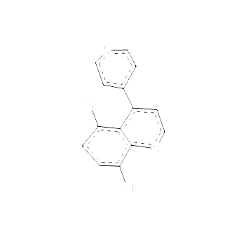 O=[N+]([O-])c1ccc(O)c2nccc(-c3ccncc3)c12